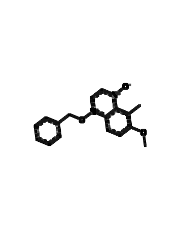 COc1ccc2c(c1C)[n+]([O-])cc[n+]2OCc1ccccc1